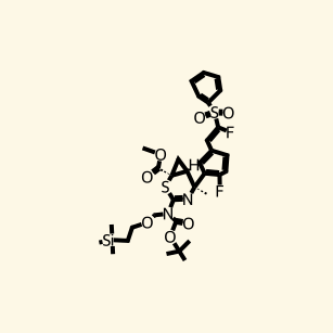 COC(=O)[C@]12C[C@H]1[C@@](C)(c1cc(/C=C(\F)S(=O)(=O)c3ccccc3)ccc1F)N=C(N(COCC[Si](C)(C)C)C(=O)OC(C)(C)C)S2